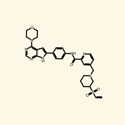 C=CS(=O)(=O)C1CCCN(Cc2ccnc(C(=O)Nc3ccc(-c4cc5c(N6CCOCC6)ncnc5[nH]4)cc3)c2)C1